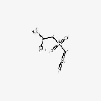 CC(C)CS(=O)(=O)C=[N+]=[N-]